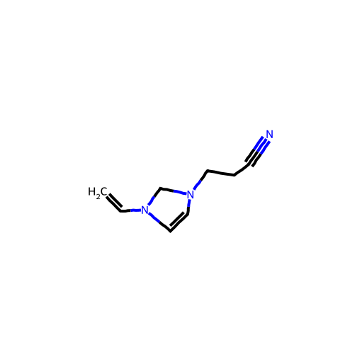 C=CN1C=CN(CCC#N)C1